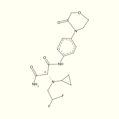 NC(=O)[C@H](C(=O)Nc1ccc(N2CCOCC2=O)cc1)N(CC(F)F)C1CC1